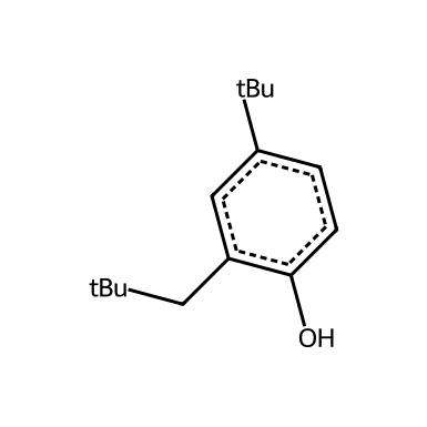 CC(C)(C)Cc1cc(C(C)(C)C)ccc1O